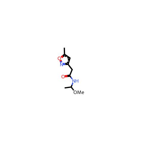 COC(C)NC(=O)Cc1cc(C)on1